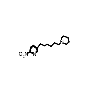 O=[N+]([O-])c1ccc(CCCCCCN2CCCCC2)cn1